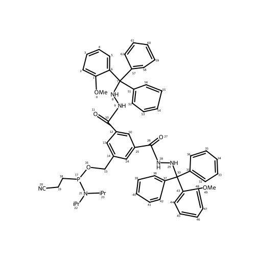 COc1ccccc1C(NNC(=O)c1cc(COP(CCC#N)N(C(C)C)C(C)C)cc(C(=O)NNC(c2ccccc2)(c2ccccc2)c2ccccc2OC)c1)(c1ccccc1)c1ccccc1